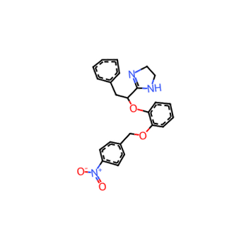 O=[N+]([O-])c1ccc(COc2ccccc2OC(Cc2ccccc2)C2=NCCN2)cc1